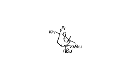 CCC[CH2][Ge]1([CH2]CCC)[CH2]CC(C(C)C)(C(C)C)[O][Ge]1([CH3])[CH3]